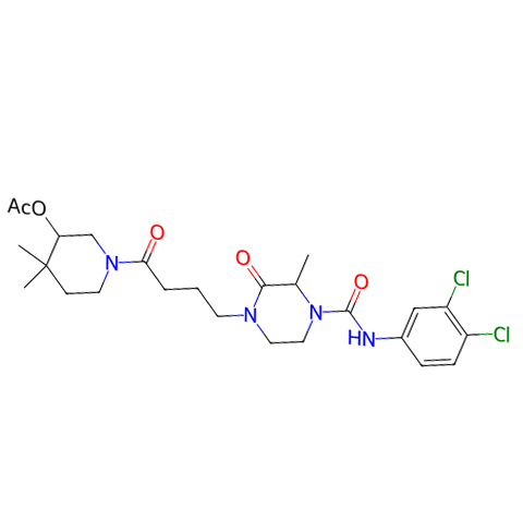 CC(=O)OC1CN(C(=O)CCCN2CCN(C(=O)Nc3ccc(Cl)c(Cl)c3)C(C)C2=O)CCC1(C)C